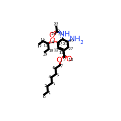 CCCCCCCCOC(=O)C1=C[C@@H](OC(CC)CC)[C@H](NC(C)=O)[C@@H](N)C1